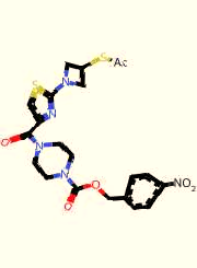 CC(=O)SC1CN(c2nc(C(=O)N3CCN(C(=O)OCc4ccc([N+](=O)[O-])cc4)CC3)cs2)C1